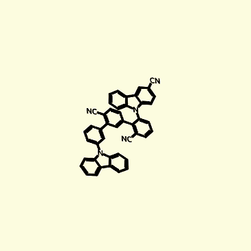 N#Cc1ccc2c(c1)c1ccccc1n2-c1cccc(C#N)c1-c1ccc(C#N)c(-c2cccc(-n3c4ccccc4c4ccccc43)c2)c1